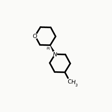 CC1CCN([C@@H]2CCCOC2)CC1